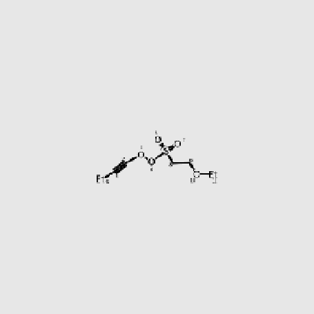 CCC#COOS(=O)(=O)CCOCC